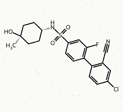 C[C@]1(O)CC[C@H](NS(=O)(=O)c2ccc(-c3ccc(Cl)cc3C#N)c(F)c2)CC1